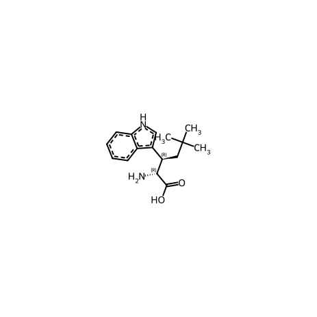 CC(C)(C)C[C@H](c1c[nH]c2ccccc12)[C@@H](N)C(=O)O